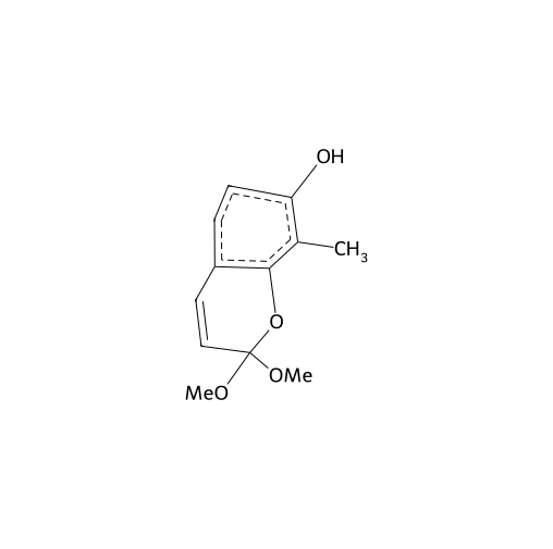 COC1(OC)C=Cc2ccc(O)c(C)c2O1